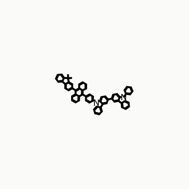 CC1(C)c2ccccc2-c2ccc(-c3c4ccccc4c(-c4ccc(-n5c6ccccc6c6cc(-c7ccc8c(c7)c7ccccc7n8-c7ccccc7)ccc65)cc4)c4ccccc34)cc21